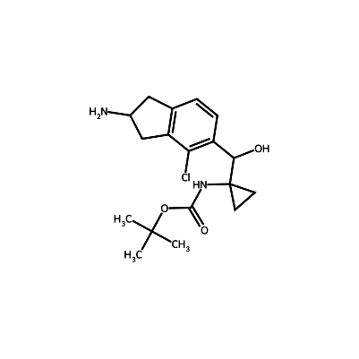 CC(C)(C)OC(=O)NC1(C(O)c2ccc3c(c2Cl)CC(N)C3)CC1